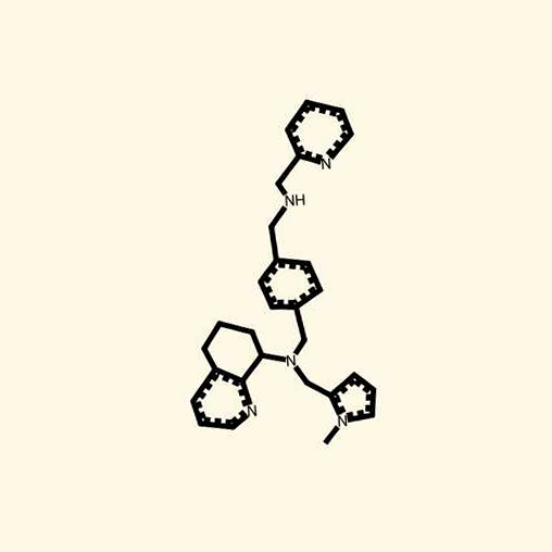 Cn1cccc1CN(Cc1ccc(CNCc2ccccn2)cc1)C1CCCc2cccnc21